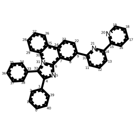 c1ccc(-c2nc3c4cc(-c5cccc(-c6ccccn6)n5)ccc4c4ccccc4n3c2-c2ccccc2)cc1